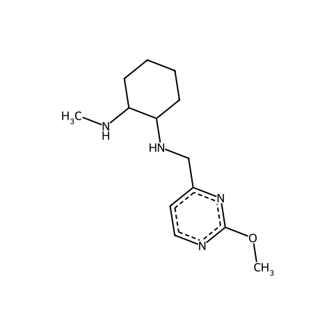 CNC1CCCCC1NCc1ccnc(OC)n1